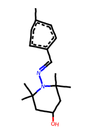 Cc1ccc(C=NN2C(C)(C)CC(O)CC2(C)C)cc1